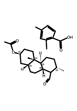 CC(=O)O[C@H]1CC[C@@]2(C)[C@H](CC[C@H]3C(C=O)[C@@H](C)CC[C@@H]32)C1.Cc1ccc(C(=O)O)c(C)c1